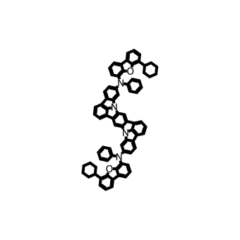 c1ccc(N(c2ccc3c4cccc5c6cc7c(cc6n(c3c2)c45)c2cccc3c4ccc(N(c5ccccc5)c5cccc6c5oc5c(C8CCCCC8)cccc56)cc4n7c32)c2cccc3c2oc2c(C4CCCCC4)cccc23)cc1